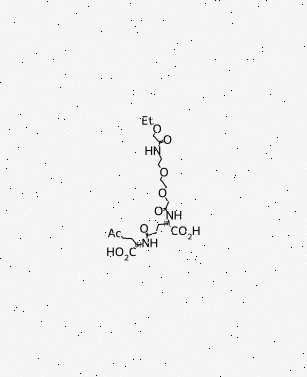 CCOCC(=O)NCCOCCOCC(=O)N[C@@H](CCC(=O)N[C@@H](CCC(C)=O)C(=O)O)C(=O)O